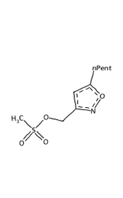 CCCCCc1cc(COS(C)(=O)=O)no1